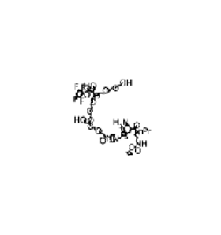 CCCN(CCCNC(=O)OC1CCC1)C(=O)C1=Cc2sc(CN3CCN(C(=O)CCOCCOC(CO)OCCOCCOCC(OCCOCCOCCO)C(CO)C(=O)Oc4c(F)c(F)cc(F)c4F)CC3)cc2N=C(N)C1